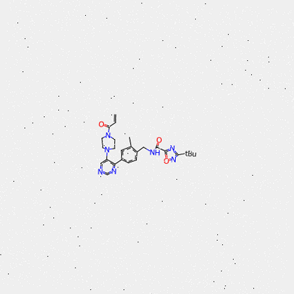 C=CC(=O)N1CCN(c2cncnc2-c2ccc(CNC(=O)c3nc(C(C)(C)C)no3)c(C)c2)CC1